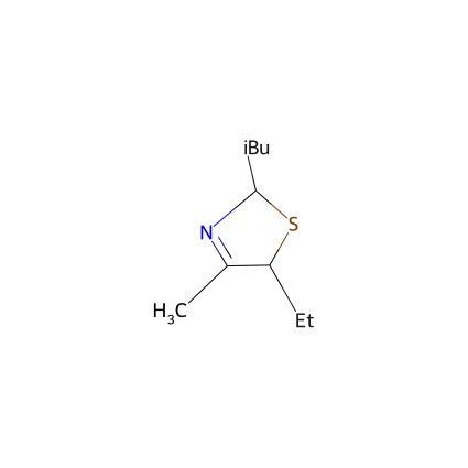 CCC1SC(C(C)CC)N=C1C